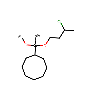 CCCO[Si](CCC)(OCCC(C)Cl)C1CCCCCCC1